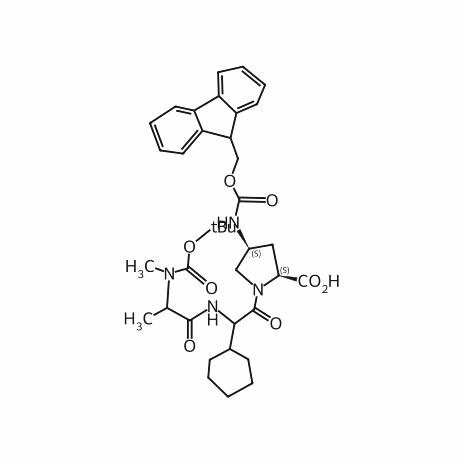 CC(C(=O)NC(C(=O)N1C[C@@H](NC(=O)OCC2c3ccccc3-c3ccccc32)C[C@H]1C(=O)O)C1CCCCC1)N(C)C(=O)OC(C)(C)C